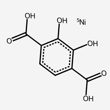 O=C(O)c1ccc(C(=O)O)c(O)c1O.[5Ni]